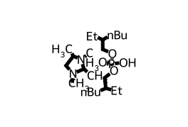 CC1CN(C)C(C)N1C.CCCCC(CC)COP(=O)(O)OCC(CC)CCCC